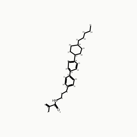 C=C(C)C(=O)NCCCc1ccc(-c2ccc(C3CCC(CCCCC)CC3)cc2)cc1